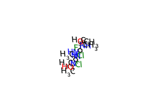 C/C=C(\O)CN(C)c1cc2c(cc1Cl)nc(Nc1c(Cl)ccc(CNC(=O)C(C)(C)C)c1F)n2C